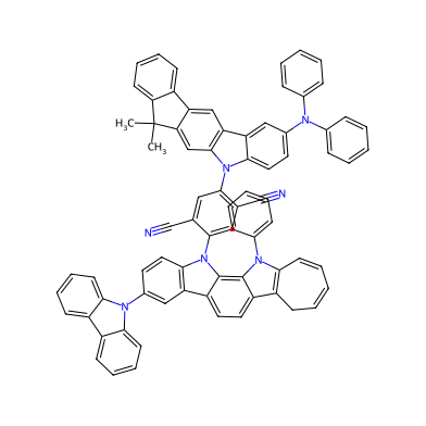 CC1(C)c2ccccc2-c2cc3c4cc(N(c5ccccc5)c5ccccc5)ccc4n(-c4cc(C#N)c(-n5c6ccc(-n7c8ccccc8c8ccccc87)cc6c6ccc7c8c(n(-c9ccccc9)c7c65)C=CC=CC8)cc4C#N)c3cc21